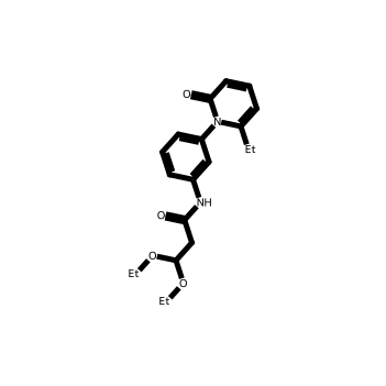 CCOC(CC(=O)Nc1cccc(-n2c(CC)cccc2=O)c1)OCC